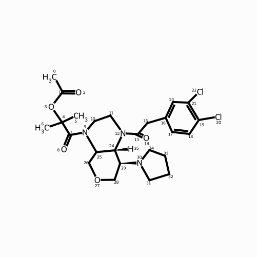 CC(=O)OC(C)(C)C(=O)N1CCN(C(=O)Cc2ccc(Cl)c(Cl)c2)[C@H]2C1COC[C@@H]2N1CCCC1